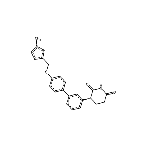 Cn1ccc(COc2ccc(-c3cccc([C@@H]4CCC(=O)NC4=O)c3)cc2)n1